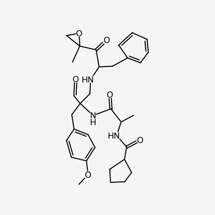 COc1ccc(CC(C=O)(CNC(Cc2ccccc2)C(=O)C2(C)CO2)NC(=O)C(C)NC(=O)C2CCCC2)cc1